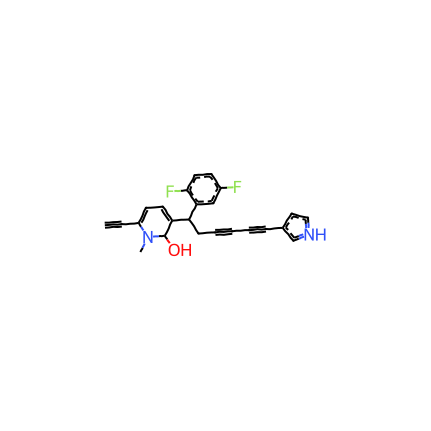 C#CC1=CC=C(C(CC#CC#Cc2cc[nH]c2)c2cc(F)ccc2F)C(O)N1C